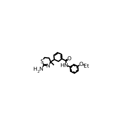 CCOc1cccc(NC(=O)C2=CC=CC(C3(C)CCSC(N)=N3)C2)c1